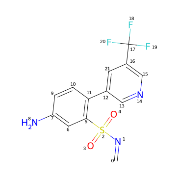 C=NS(=O)(=O)c1cc(N)ccc1-c1cncc(C(F)(F)F)c1